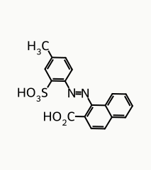 Cc1ccc(N=Nc2c(C(=O)O)ccc3ccccc23)c(S(=O)(=O)O)c1